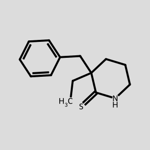 CCC1(Cc2ccccc2)CCCNC1=S